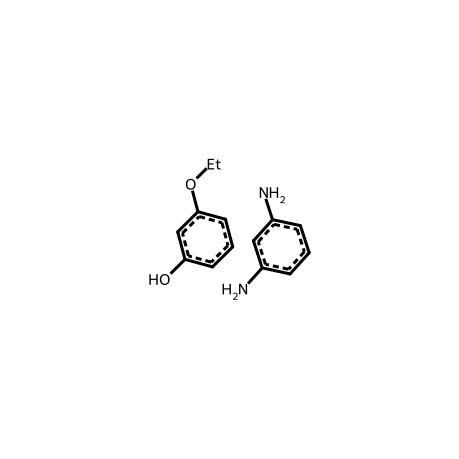 CCOc1cccc(O)c1.Nc1cccc(N)c1